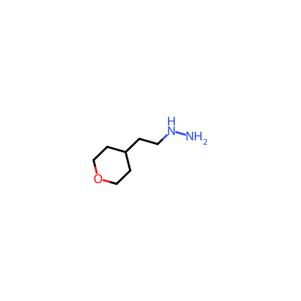 NNCCC1CCOCC1